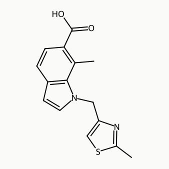 Cc1nc(Cn2ccc3ccc(C(=O)O)c(C)c32)cs1